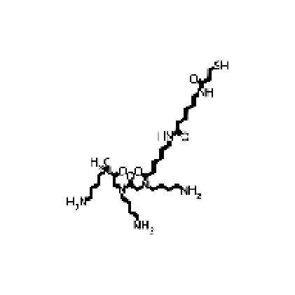 CN(CCCCN)C(=O)CN(CCCCN)C(=O)CN(CCCCN)C(=O)CCCCCNC(=O)CCCCCNC(=O)CCS